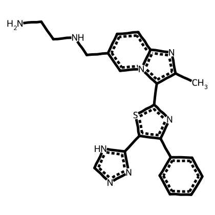 Cc1nc2ccc(CNCCN)cn2c1-c1nc(-c2ccccc2)c(-c2nnc[nH]2)s1